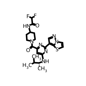 CC(C)[C@@H](C)Nc1cc(C(=O)N2CCC(NC(=O)C(F)F)CC2)nc(-c2cnn3ccsc23)n1